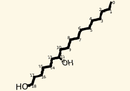 CCCCCCCCCCCC(O)CCCCCCO